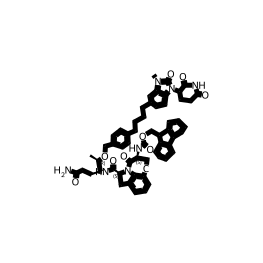 C[C@@H](OCc1ccc(CCCCc2ccc3c(c2)n(C)c(=O)n3C2CCC(=O)NC2=O)cc1)[C@H](CCC(N)=O)NC(=O)[C@@H]1Cc2cccc3c2N1C(=O)[C@@H](NC(=O)OCC1c2ccccc2-c2ccccc21)CC3